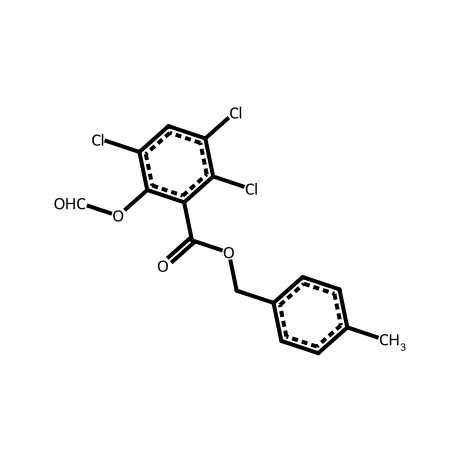 Cc1ccc(COC(=O)c2c(Cl)c(Cl)cc(Cl)c2OC=O)cc1